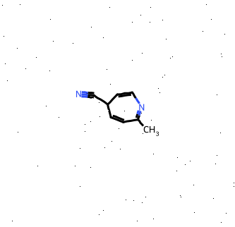 CC1=NC=CC(C#N)C=C1